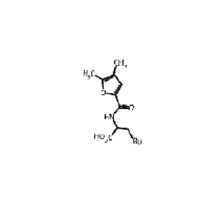 CCC(C)CC(NC(=O)c1cc(C)c(C)o1)C(=O)O